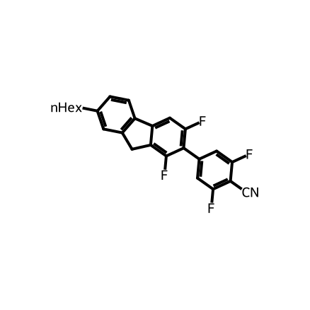 CCCCCCc1ccc2c(c1)Cc1c-2cc(F)c(-c2cc(F)c(C#N)c(F)c2)c1F